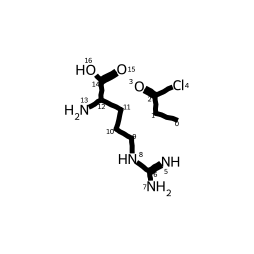 CCC(=O)Cl.N=C(N)NCCCC(N)C(=O)O